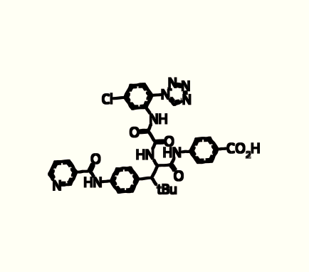 CC(C)(C)C(c1ccc(NC(=O)c2cccnc2)cc1)C(NC(=O)C(=O)Nc1cc(Cl)ccc1-n1cnnn1)C(=O)Nc1ccc(C(=O)O)cc1